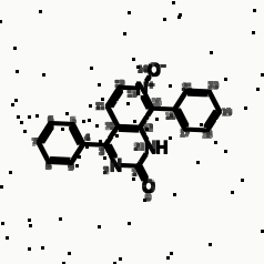 O=c1nc(-c2ccccc2)c2cc[n+]([O-])c(-c3ccccc3)c2[nH]1